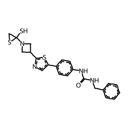 O=C(NCc1ccccc1)Nc1ccc(-c2cnc(C3CN(C4(S)CS4)C3)s2)cc1